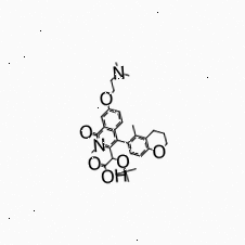 Cc1c(-c2c(C(OC(C)(C)C)C(=O)O)n(C)c(=O)c3cc(OCCN(C)C)ccc23)ccc2c1CCCO2